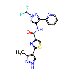 Cc1n[nH]cc1-c1nc(C(=O)Nc2cn(C(F)F)nc2-c2ccccn2)cs1